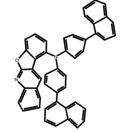 c1ccc2nc3oc4cccc(N(c5ccc(-c6cccc7ccccc67)cc5)c5ccc(-c6cccc7ccccc67)cc5)c4c3cc2c1